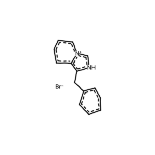 [Br-].c1ccc(Cc2[nH]c[n+]3ccccc23)cc1